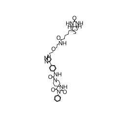 O=C(CCCC[C@@H]1SC[C@@H]2NC(=O)N[C@@H]21)NCCOCCn1cc(-c2ccc(NC(=O)N3CCC4(CC3)NC(=O)N(c3ccccc3)C4=O)cc2)nn1